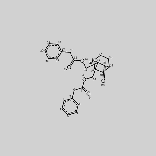 O=C(Cc1ccccc1)OCC1(COC(=O)Cc2ccccc2)C(=O)C2CCN1CC2